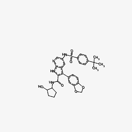 CC(C)(C)c1ccc(S(=O)(=O)Nc2cnc3[nH]c(C(=O)NC4CCCC4O)c(-c4ccc5c(c4)OCO5)c3c2)cc1